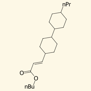 CCCCOC(=O)C=CC1CCC(C2CCC(CCC)CC2)CC1